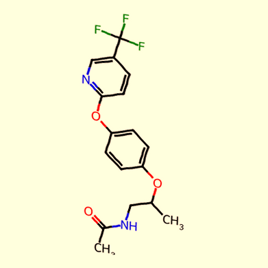 CC(=O)NCC(C)Oc1ccc(Oc2ccc(C(F)(F)F)cn2)cc1